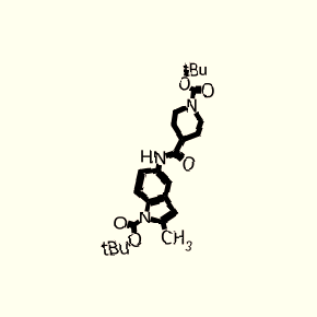 Cc1cc2cc(NC(=O)C3CCN(C(=O)OC(C)(C)C)CC3)ccc2n1C(=O)OC(C)(C)C